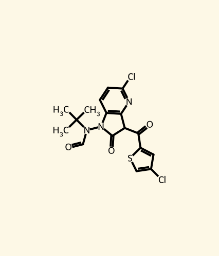 CC(C)(C)N(C=O)N1C(=O)C(C(=O)c2cc(Cl)cs2)c2nc(Cl)ccc21